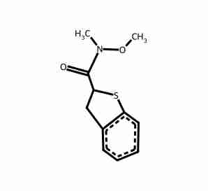 CON(C)C(=O)C1Cc2ccccc2S1